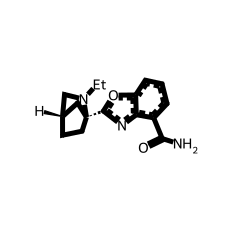 CCN1C[C@H]2CC[C@@]1(c1nc3c(C(N)=O)cccc3o1)C2